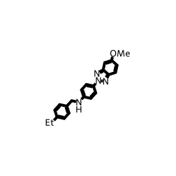 CCc1ccc(CNc2ccc(-n3nc4ccc(OC)cc4n3)cc2)cc1